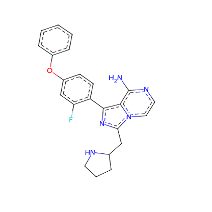 Nc1nccn2c(CC3CCCN3)nc(-c3ccc(Oc4ccccc4)cc3F)c12